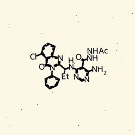 CC[C@H](Nc1ncnc(N)c1C(=O)NNC(C)=O)c1nc2cccc(Cl)c2c(=O)n1-c1ccccc1